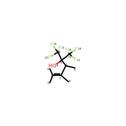 CC(C)=C(C)C(C)C(O)(C(F)(F)F)C(F)(F)F